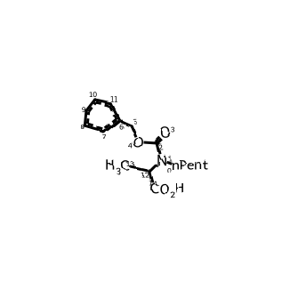 CCCCCN(C(=O)OCc1ccccc1)C(C)C(=O)O